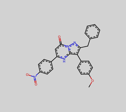 COc1ccc(-c2c(Cc3ccccc3)nn3c(=O)cc(-c4ccc([N+](=O)[O-])cc4)[nH]c23)cc1